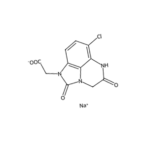 O=C([O-])Cn1c(=O)n2c3c(c(Cl)ccc31)NC(=O)C2.[Na+]